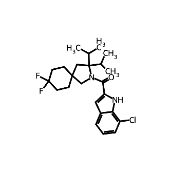 CC(C)C1(C(C)C)CC2(CCC(F)(F)CC2)CN1C(=O)c1cc2cccc(Cl)c2[nH]1